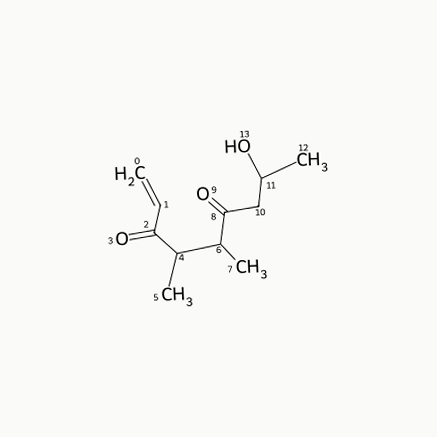 C=CC(=O)C(C)C(C)C(=O)CC(C)O